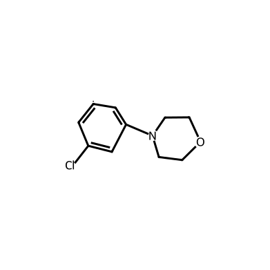 Clc1c[c]cc(N2CCOCC2)c1